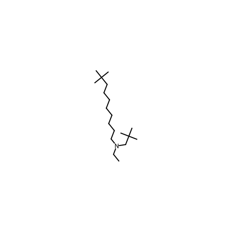 CCN(CCCCCCCCC(C)(C)C)CC(C)(C)C